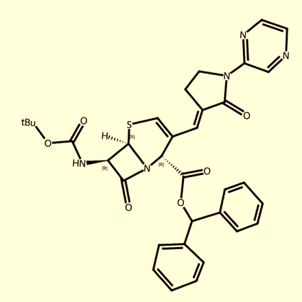 CC(C)(C)OC(=O)N[C@@H]1C(=O)N2[C@@H](C(=O)OC(c3ccccc3)c3ccccc3)C(C=C3CCN(c4cnccn4)C3=O)=CS[C@H]12